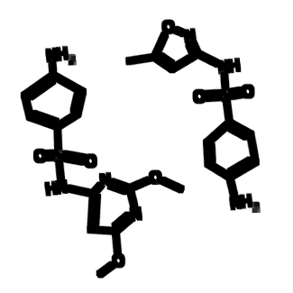 COc1cc(NS(=O)(=O)c2ccc(N)cc2)nc(OC)n1.Cc1cc(NS(=O)(=O)c2ccc(N)cc2)no1